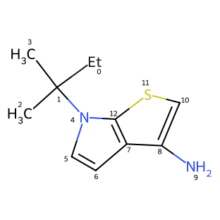 CCC(C)(C)n1ccc2c(N)csc21